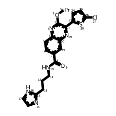 CC(C)Oc1nc2ccc(C(=O)NCCCc3ncc[nH]3)cc2nc1-c1ccc(Cl)s1